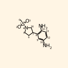 CS(=O)(=O)N1CCC(c2cc(N)ccc2N)C1